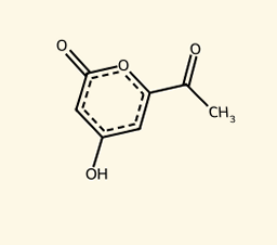 CC(=O)c1cc(O)cc(=O)o1